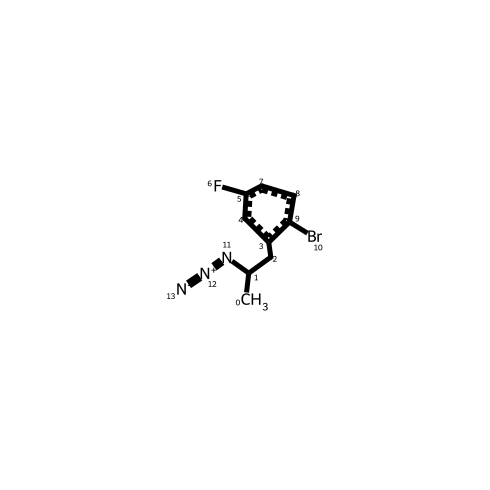 CC(Cc1cc(F)ccc1Br)N=[N+]=[N-]